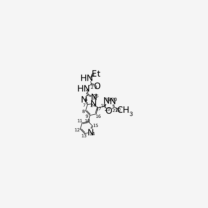 CCNC(=O)Nc1nc2cc(-c3cccnc3)cc(-c3nnc(C)o3)n2n1